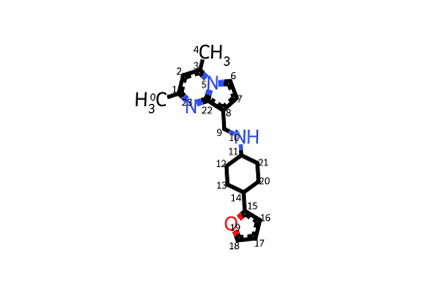 Cc1cc(C)n2ccc(CNC3CCC(c4ccco4)CC3)c2n1